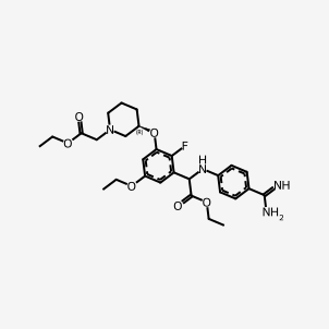 CCOC(=O)CN1CCC[C@@H](Oc2cc(OCC)cc(C(Nc3ccc(C(=N)N)cc3)C(=O)OCC)c2F)C1